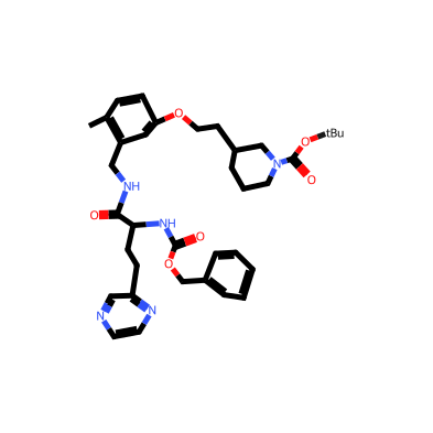 Cc1ccc(OCCC2CCCN(C(=O)OC(C)(C)C)C2)cc1CNC(=O)C(CCc1cnccn1)NC(=O)OCc1ccccc1